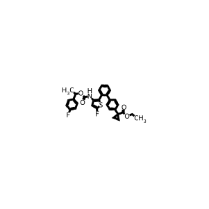 CCOC(=O)C1(c2ccc(-c3ccccc3-c3sc(F)cc3NC(=O)OC(C)c3ccc(F)cc3)cc2)CC1